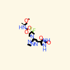 COC[C@H](C)NC(=O)O[C@H]1CN(c2cc(-c3c[nH]c(=O)[nH]c3=O)nn3ccnc23)CC1(F)F